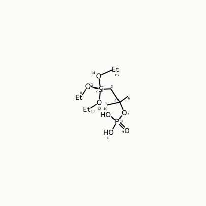 CCO[Si](CC(C)(C)OP(=O)(O)O)(OCC)OCC